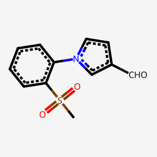 CS(=O)(=O)c1ccccc1-n1ccc(C=O)c1